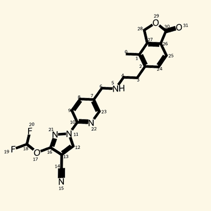 Cc1c(CCNCc2ccc(-n3cc(C#N)c(OC(F)F)n3)nc2)ccc2c1COC2=O